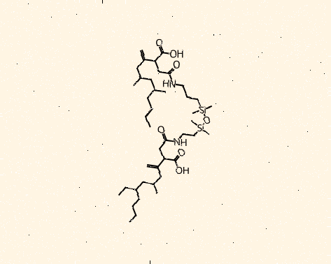 C=C(CC(C)CC(C)CCCC)C(CC(=O)NCCC[Si](C)(C)O[Si](C)(C)CCNC(=O)CC(C(=C)CC(C)CC(CC)CCCC)C(=O)O)C(=O)O